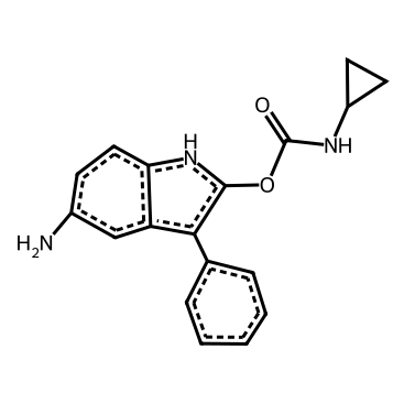 Nc1ccc2[nH]c(OC(=O)NC3CC3)c(-c3ccccc3)c2c1